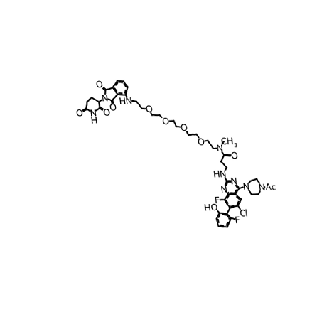 CC(=O)N1CCN(c2nc(NCCC(=O)N(C)CCOCCOCCOCCOCCNc3cccc4c3C(=O)N(C3CCC(=O)NC3=O)C4=O)nc3c(F)c(-c4c(O)cccc4F)c(Cl)cc23)CC1